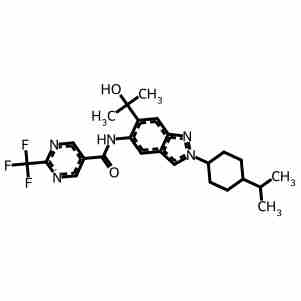 CC(C)C1CCC(n2cc3cc(NC(=O)c4cnc(C(F)(F)F)nc4)c(C(C)(C)O)cc3n2)CC1